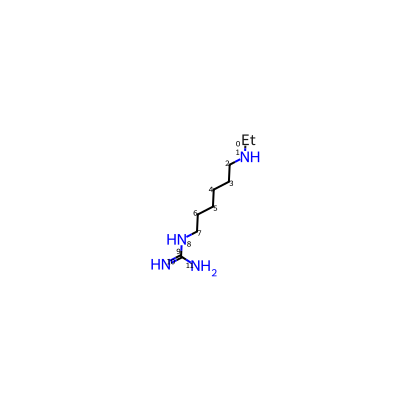 CCNCCCCCCNC(=N)N